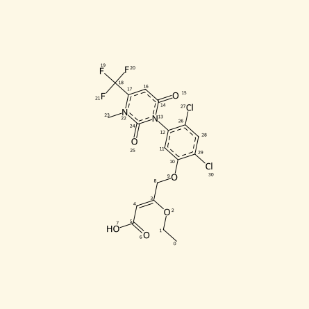 CCO/C(=C\C(=O)O)COc1cc(-n2c(=O)cc(C(F)(F)F)n(C)c2=O)c(Cl)cc1Cl